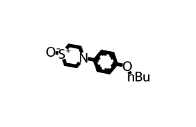 CCCCOc1ccc(N2CC[S+]([O-])CC2)cc1